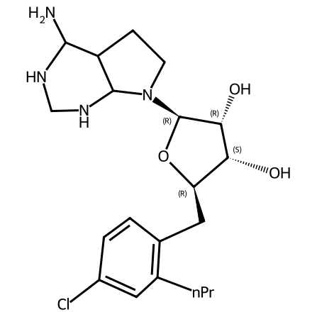 CCCc1cc(Cl)ccc1C[C@H]1O[C@@H](N2CCC3C(N)NCNC32)[C@H](O)[C@@H]1O